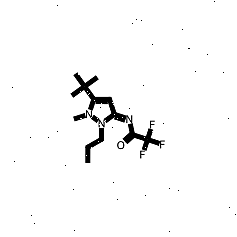 CCCn1c(=NC(=O)C(F)(F)F)cc(C(C)(C)C)n1C